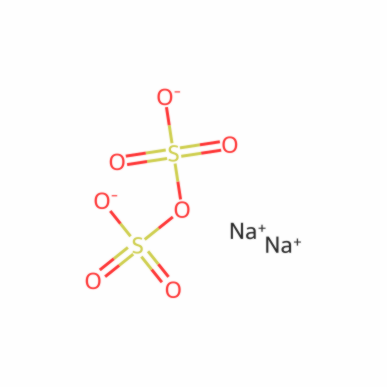 O=S(=O)([O-])OS(=O)(=O)[O-].[Na+].[Na+]